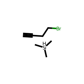 C#CCCBr.C[SiH](C)C